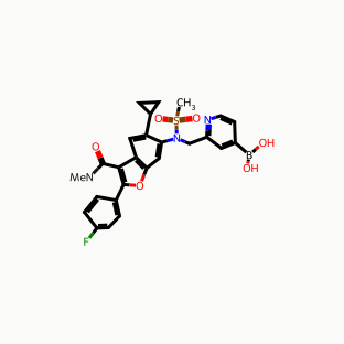 CNC(=O)c1c(-c2ccc(F)cc2)oc2cc(N(Cc3cc(B(O)O)ccn3)S(C)(=O)=O)c(C3CC3)cc12